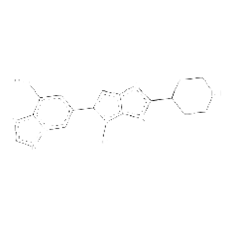 COc1cc(-c2cc3sc(C4CCNCC4)nc3n2C(C)C)cn2ncnc12